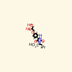 CC(C)C[C@@H](C(=O)O)N1C(=O)N[C@H](c2ccc(OC[C@H](O)CO)cc2)C1=O